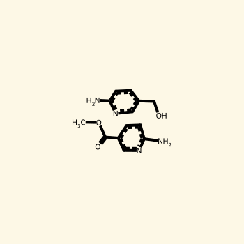 COC(=O)c1ccc(N)nc1.Nc1ccc(CO)cn1